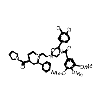 COc1cc(C(=O)N2C[C@@H](CCN3CCC(C(=O)N4CCCC4)CC3c3ccccc3)OC2c2ccc(Cl)c(Cl)c2)cc(OC)c1OC